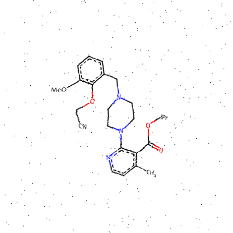 COc1cccc(CN2CCN(c3nccc(C)c3C(=O)OC(C)C)CC2)c1OCC#N